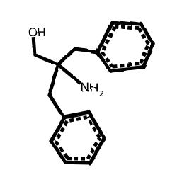 NC(CO)(Cc1ccccc1)Cc1ccccc1